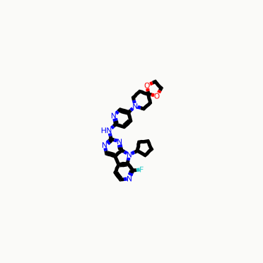 Fc1nccc2c3cnc(Nc4ccc(N5CCC6(CC5)OCCO6)cn4)nc3n(C3CCCC3)c12